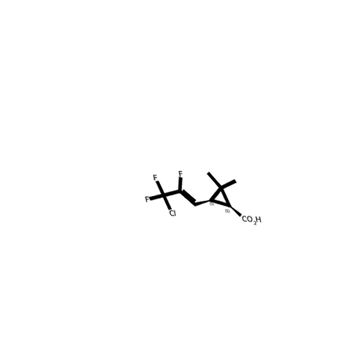 CC1(C)[C@H](C=C(F)C(F)(F)Cl)[C@@H]1C(=O)O